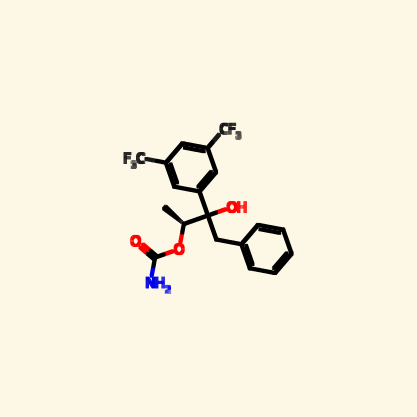 C[C@H](OC(N)=O)C(O)(Cc1ccccc1)c1cc(C(F)(F)F)cc(C(F)(F)F)c1